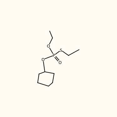 CCOP(=O)(OC1CCCCC1)SCC